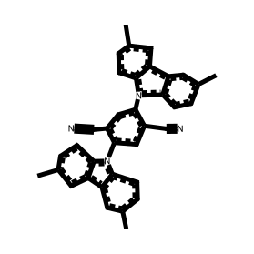 Cc1ccc2c(c1)c1cc(C)ccc1n2-c1cc(C#N)c(-n2c3ccc(C)cc3c3cc(C)ccc32)cc1C#N